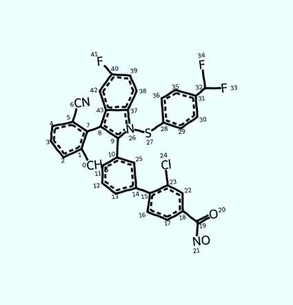 Cc1cccc(C#N)c1-c1c(-c2cccc(-c3ccc(C(=O)N=O)cc3Cl)c2)n(Sc2ccc(C(F)F)cc2)c2ccc(F)cc12